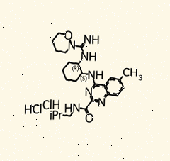 Cc1ccc2nc(C(=O)NCC(C)C)nc(N[C@H]3CCCC[C@H]3NC(=N)N3CCCCO3)c2c1.Cl.Cl